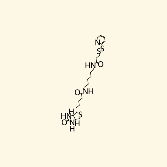 O=C(CCCC[C@@H]1SC[C@@H]2NC(=O)N[C@@H]21)NCCCCCCNC(=O)CCSSc1ccccn1